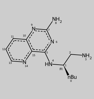 CCCC[C@H](CN)Nc1nc(N)nc2cccnc12